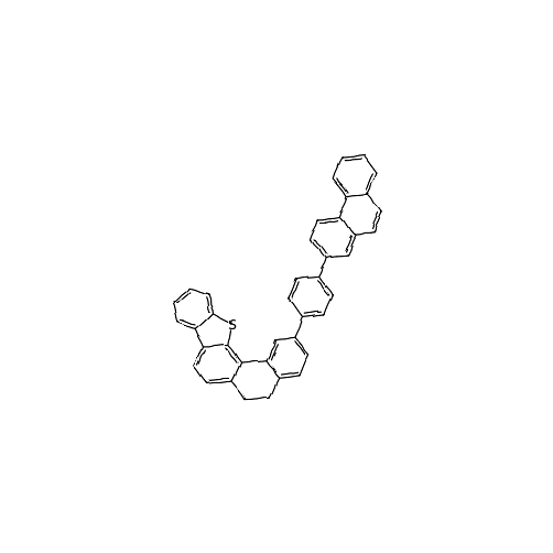 c1ccc2c(c1)ccc1cc(-c3ccc(-c4ccc5c(c4)-c4c(ccc6c4sc4ccccc46)CC5)cc3)ccc12